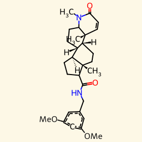 COc1cc(CNC(=O)C2CC[C@H]3[C@@H]4CCC5N(C)C(=O)C=C[C@]5(C)[C@@H]4CC[C@]23C)cc(OC)c1